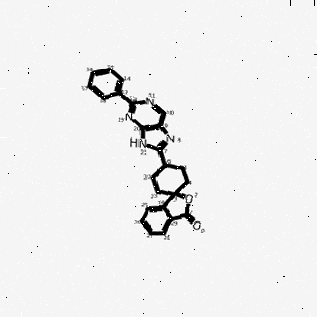 O=C1OC2(CCC(c3nc4cnc(-c5ccccc5)nc4[nH]3)CC2)c2ccccc21